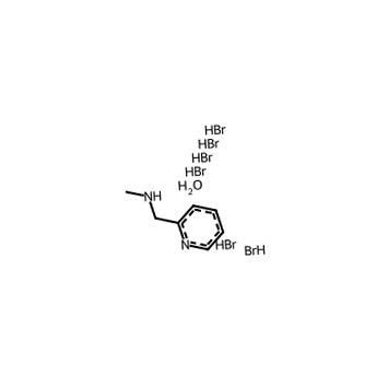 Br.Br.Br.Br.Br.Br.CNCc1ccccn1.O